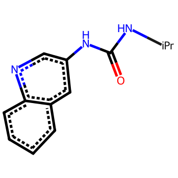 CC(C)NC(=O)Nc1cnc2ccccc2c1